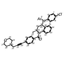 CC(=O)N(c1ccc(Cl)cc1)[C@@H]1C[C@H](C)N(C(=O)c2ccc(C#CCN3CCOCC3)cc2)c2ccccc21